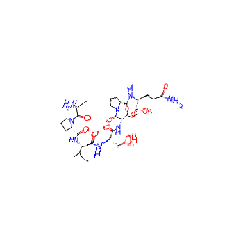 CCC(C)[C@H](NC(=O)[C@H](CO)NC(=O)[C@@H](NC(=O)[C@@H]1CCCN1C(=O)C(C)N)C(C)C)C(=O)N1CCC[C@H]1C(=O)N[C@@H](CCC(N)=O)C(=O)O